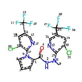 CN(NC(=O)c1cccn1-c1ncc(C(F)(F)F)cc1Cl)c1ncc(C(F)(F)F)cc1Cl